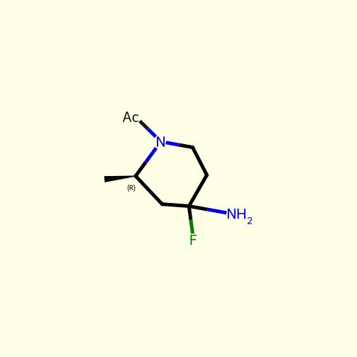 CC(=O)N1CCC(N)(F)C[C@H]1C